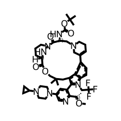 CO[C@@H](C)c1ncc(N2CCN(C3CC3)CC2)cc1-c1c2c3cc(ccc3n1CC(F)(F)F)C1=CCCN(C1)C[C@H](NC(=O)OC(C)(C)C)C(=O)N1CCC[C@H](N1)C(=O)OCC(C)(C)C2